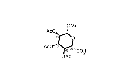 CO[C@@H]1O[C@H](C(=O)O)[C@@H](OC(C)=O)[C@H](OC(C)=O)[C@H]1OC(C)=O